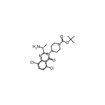 C[C@H](N)c1nc2c(Cl)ccc(Cl)c2c(=O)n1N1CCN(C(=O)OC(C)(C)C)CC1